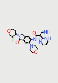 N=C/C(C(=O)Nc1cc2c(cc1N1CCOCC1)C(=O)N([C@@H]1CCOC[C@H]1F)C2)=C1/N=CC=CN1